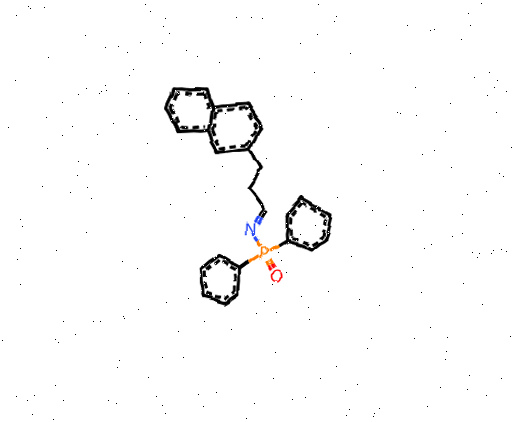 O=P(/N=C/CCc1ccc2ccccc2c1)(c1ccccc1)c1ccccc1